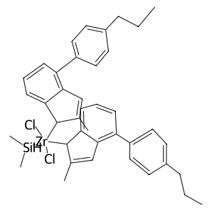 CCCc1ccc(-c2cccc3c2C=C(C)[CH]3[Zr]([Cl])([Cl])([CH]2C(C)=Cc3c(-c4ccc(CCC)cc4)cccc32)[SiH](C)C)cc1